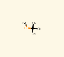 N#CC(C#N)(C#N)[PH][Pd]